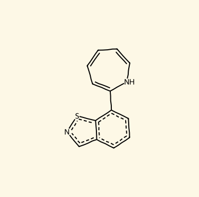 C1=CC=C(c2cccc3cnsc23)NC=C1